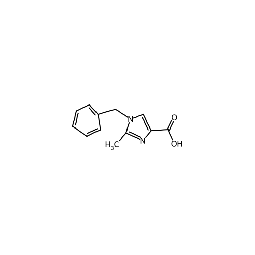 Cc1nc(C(=O)O)cn1Cc1ccccc1